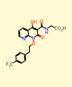 O=C(O)CNC(=O)c1c(O)c2cccnc2n(OCCc2ccc(C(F)(F)F)cc2)c1=O